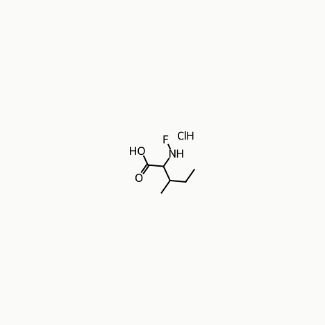 CCC(C)C(NF)C(=O)O.Cl